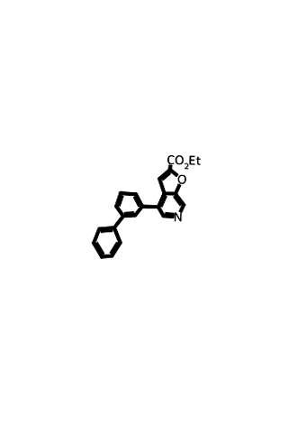 CCOC(=O)c1cc2c(-c3cccc(-c4ccccc4)c3)cncc2o1